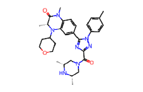 Cc1ccc(-n2nc(C(=O)N3C[C@@H](C)N[C@@H](C)C3)nc2-c2ccc3c(c2)N(C2CCOCC2)[C@H](C)C(=O)N3C)cc1